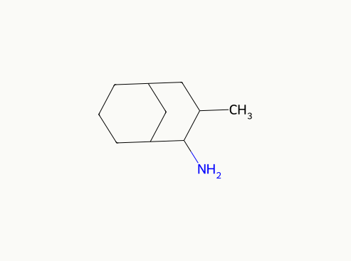 CC1CC2CCCC(C2)C1N